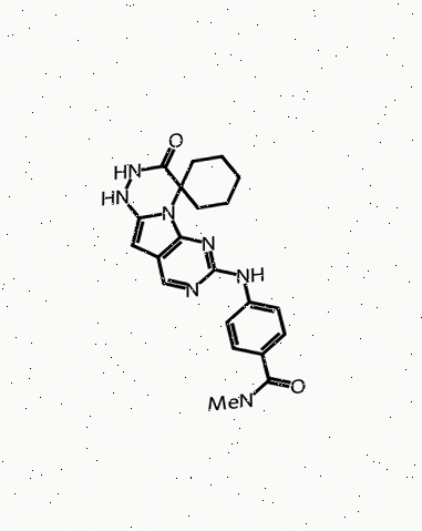 CNC(=O)c1ccc(Nc2ncc3cc4n(c3n2)C2(CCCCC2)C(=O)NN4)cc1